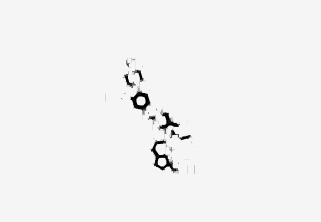 C=CCn1c(=O)c2cnc(Nc3ccc(N4CCN(C)CC4)c(C)c3)nc2n1C1CC=C2CCC(O)(CC)C2=N1